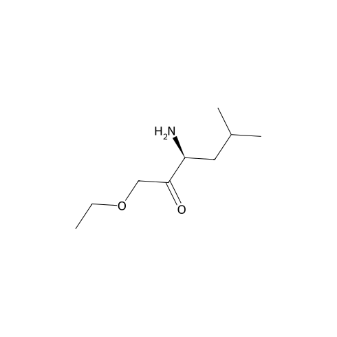 CCOCC(=O)[C@@H](N)CC(C)C